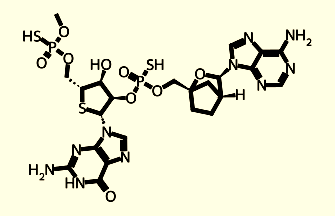 COP(=O)(S)OC[C@H]1S[C@@H](n2cnc3c(=O)[nH]c(N)nc32)[C@H](OP(=O)(S)OC[C@]23CC[C@H](C2)[C@H](n2cnc4c(N)ncnc42)O3)[C@@H]1O